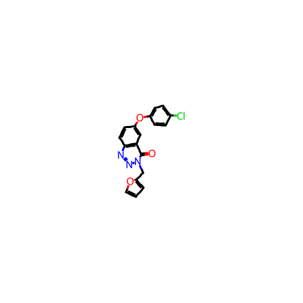 O=c1c2cc(Oc3ccc(Cl)cc3)ccc2nnn1Cc1ccco1